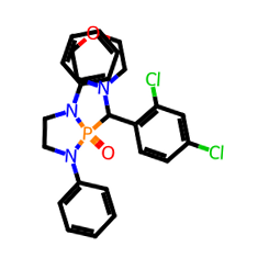 O=P1(C(c2ccc(Cl)cc2Cl)N2CCOCC2)N(c2ccccc2)CCN1c1ccccc1